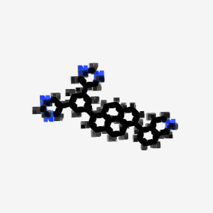 c1cc(-c2ccc3ccc4c(-c5cc(-c6cncnc6)cc(-c6cncnc6)c5)ccc5ccc2c3c54)c2ccncc2c1